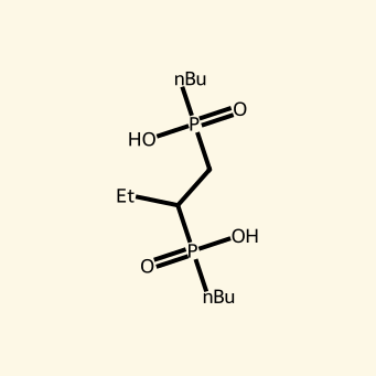 CCCCP(=O)(O)CC(CC)P(=O)(O)CCCC